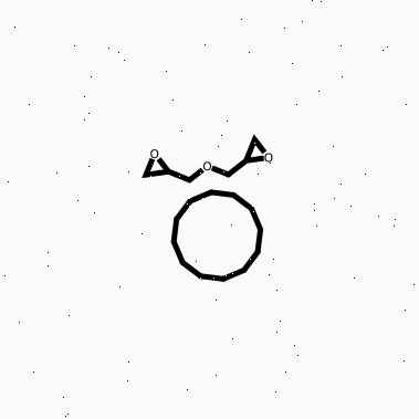 C(OCC1CO1)C1CO1.C1CCCCCCCCCCC1